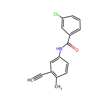 C#Cc1cc(NC(=O)c2cccc(Cl)c2)ccc1C